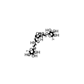 C[C@@H]1O[C@@H](OCCNC(=O)CN(CC=O)CC(=O)NCCO[C@@H]2O[C@@H](C)[C@@H](O)[C@@H](O)[C@@H]2O)[C@@H](O)[C@H](O)[C@@H]1O